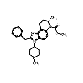 COC(=O)N1c2ccc3c(nc(Cc4ccccc4)n3C3CCN(C)CC3)c2CC[C@@H]1C